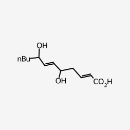 CCCCC(O)C=CC(O)CC=CC(=O)O